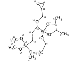 CCO[Si](OCC)(OCC)C(CC[Si](OC)(OC)OC)OCC1CO1